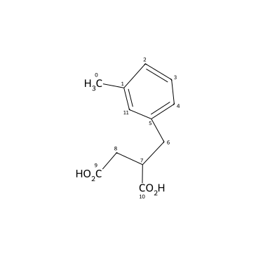 Cc1cccc(CC(CC(=O)O)C(=O)O)c1